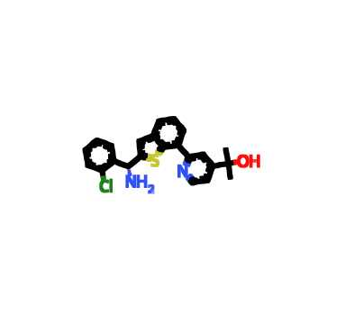 CC(C)(O)c1ccnc(-c2cccc3cc([C@H](N)c4ccccc4Cl)sc23)c1